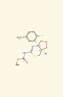 Cc1ccc(F)c([C@]23COC[C@H]2CSC(NC(=O)OC(C)(C)C)=N3)c1